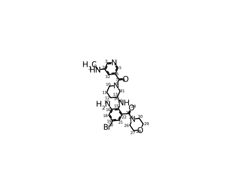 CNc1cncc(C(=O)N2CCC[C@@H](Nc3c(N)cc(Br)cc3C(=O)N3CCOCC3)C2)c1